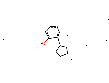 [O]c1ccccc1C1CCCC1